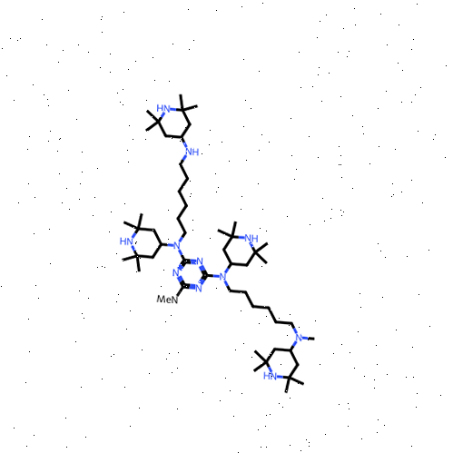 CNc1nc(N(CCCCCCNC2CC(C)(C)NC(C)(C)C2)C2CC(C)(C)NC(C)(C)C2)nc(N(CCCCCCN(C)C2CC(C)(C)NC(C)(C)C2)C2CC(C)(C)NC(C)(C)C2)n1